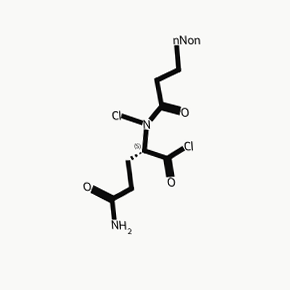 CCCCCCCCCCCC(=O)N(Cl)[C@@H](CCC(N)=O)C(=O)Cl